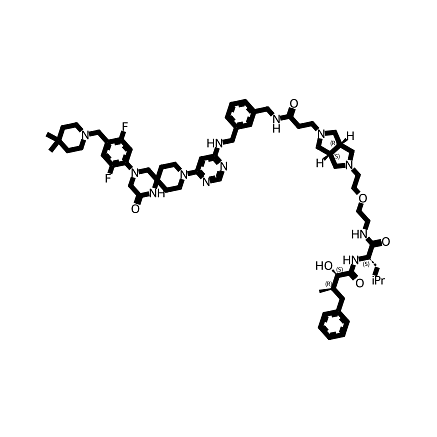 CC(C)C[C@H](NC(=O)[C@@H](O)[C@H](C)Cc1ccccc1)C(=O)NCCOCCN1C[C@@H]2CN(CCC(=O)NCc3cccc(CNc4cc(N5CCC6(CC5)CN(c5cc(F)c(CN7CCC(C)(C)CC7)cc5F)CC(=O)N6)ncn4)c3)C[C@@H]2C1